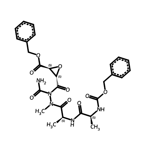 C[C@H](NC(=O)OCc1ccccc1)C(=O)N[C@@H](C)C(=O)N(C)N(C(N)=O)C(=O)[C@H]1O[C@@H]1C(=O)OCc1ccccc1